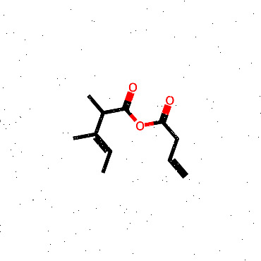 C=CCC(=O)OC(=O)C(C)C(C)=CC